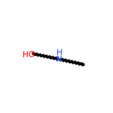 CCCCCCCCCCCCCCCCNCCCCCCCCCCCCCCCCO